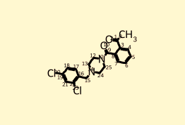 CC(=O)c1ccccc1C(=O)N1CCN(Cc2ccc(Cl)cc2Cl)CC1